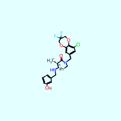 CC(C)CN(Cc1cc(Cl)c2c(c1)OCC(F)(F)CO2)C(=O)[C@H](C)CNCc1cccc(O)c1